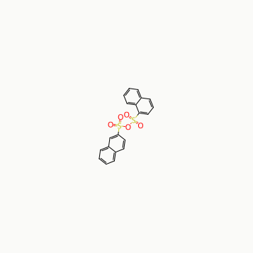 O=S(=O)(OS(=O)(=O)c1cccc2ccccc12)c1ccc2ccccc2c1